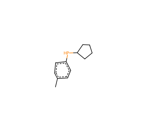 Cc1ccc(PC2CCCC2)cc1